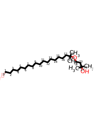 BCCCCCCCCCCCCCCCCCC(C)(C)OCCC(C)(C)O